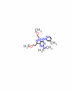 CCOCCn1nc(CCOC)c2nc(N(C)C)nc(Nc3cc(C)ccn3)c21